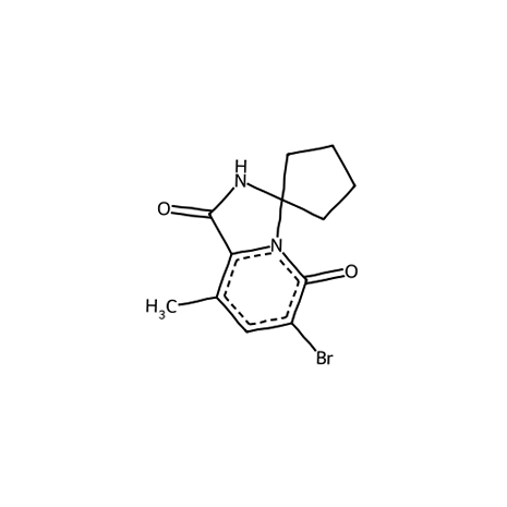 Cc1cc(Br)c(=O)n2c1C(=O)NC21CCCC1